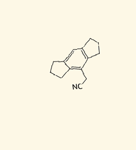 N#CCc1c2c(cc3c1CCC3)CCC2